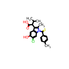 Cc1ccc(C(=S)n2c(C)c(C(C(=O)O)C(C)C)c3cc(O)c(Cl)cc32)cc1